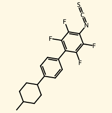 CC1CCC(c2ccc(-c3c(F)c(F)c(N=C=S)c(F)c3F)cc2)CC1